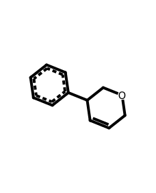 C1=CC(c2ccccc2)COC1